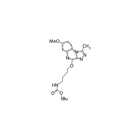 COc1ccc2c(c1)nc(OCCCCNC(=O)OC(C)(C)C)c1nnc(C)n12